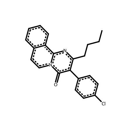 CCCCc1nc2c3ccccc3ccn2c(=O)c1-c1ccc(Cl)cc1